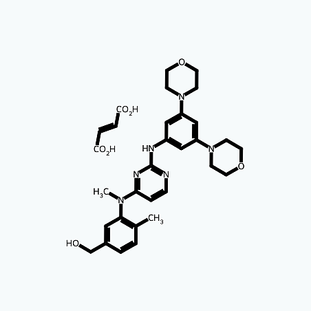 Cc1ccc(CO)cc1N(C)c1ccnc(Nc2cc(N3CCOCC3)cc(N3CCOCC3)c2)n1.O=C(O)C=CC(=O)O